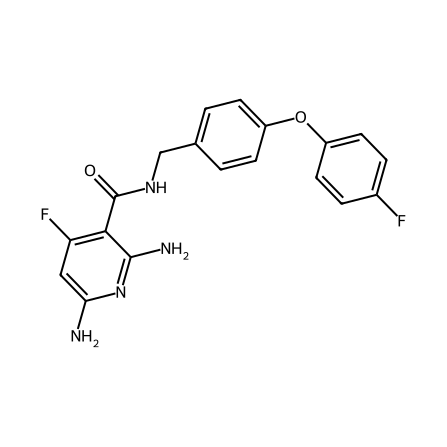 Nc1cc(F)c(C(=O)NCc2ccc(Oc3ccc(F)cc3)cc2)c(N)n1